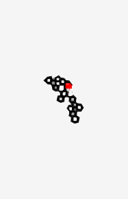 c1ccc2c(c1)-c1ccc(-c3c4ccccc4c(-c4ccc5c(c4)C4(CCc6cc7ccccc7cc64)c4ccccc4-5)c4ncccc34)cc1C21CCc2cc3ccccc3cc21